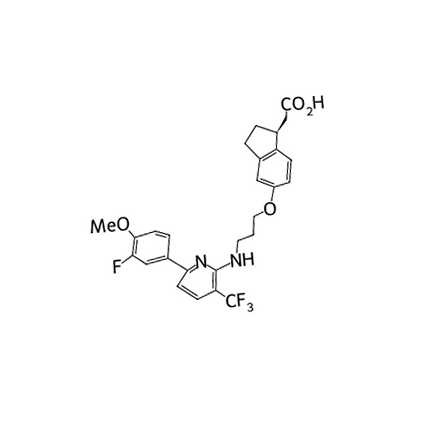 COc1ccc(-c2ccc(C(F)(F)F)c(NCCCOc3ccc4c(c3)CC[C@H]4CC(=O)O)n2)cc1F